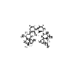 COc1cc(-c2cccc(-c3cccc(-c4cc(F)c(CN(C)C)c(OC)c4)c3C)c2C)cc(F)c1CN(C)C